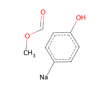 COC=O.Oc1cc[c]([Na])cc1